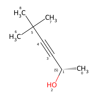 C[C@H](O)C#CC(C)(C)C